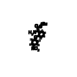 CC(C)(C)OC(=O)C(N)c1[c]cccc1Oc1ccc([N+](=O)[O-])cc1